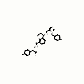 NC(=O)[C@@H](CNC(=O)c1cccc2c1OCCC2NCc1cncn1Cc1ccc(Cl)cc1)c1ccc(Cl)cc1